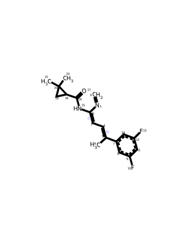 C=N/C(=C\C=C(/C)c1cc(F)cc(F)c1)NC(=O)C1CC1(C)C